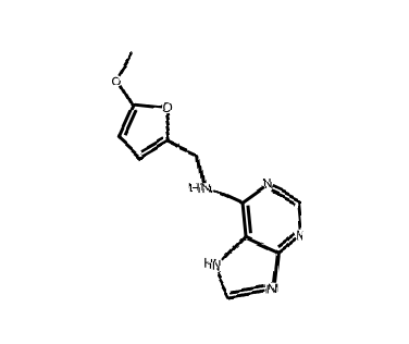 COc1ccc(CNc2ncnc3nc[nH]c23)o1